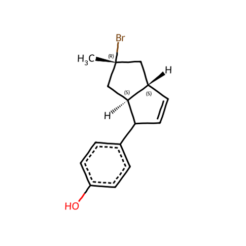 C[C@]1(Br)C[C@@H]2C(c3ccc(O)cc3)C=C[C@H]2C1